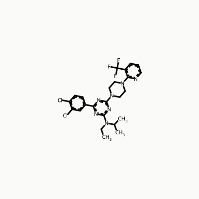 CCN(c1nc(-c2ccc(Cl)c(Cl)c2)nc(N2CCN(c3ncccc3C(F)(F)F)CC2)n1)C(C)C